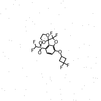 O=S(=O)(c1ccc(OC2CC(F)(F)C2)c2c1C1(OCCO1)C(F)(F)O2)C(F)F